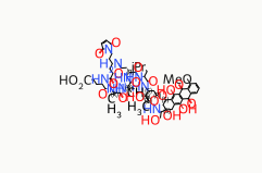 COc1cccc2c1C(=O)c1c(O)c3c(c(O)c1C2=O)C[C@@](O)(C(=N)CO)C[C@@H]3O[C@H]1C[C@H](NC(=O)C(CC(C)C)NC(=O)[C@@H](CC(N)=O)NC(=O)[C@@H](C)NC(=O)[C@@H](C)NC(=O)C(CCC(=O)O)NC(=O)CCCCCN2C(=O)C=CC2=O)[C@H](O)[C@H](C)O1